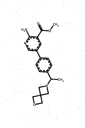 COC(=O)c1cc(-c2ccc(C(C)N3CC4(COC4)C3)cc2)cnc1N